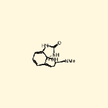 CNC1CC=C2C=CC=C3NC(=O)N[C@]23N1